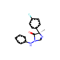 C[C@]1(c2ccc(F)cc2)N=CN(Nc2ccccc2)C1=O